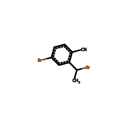 CC(Br)c1cc(Br)ccc1C#N